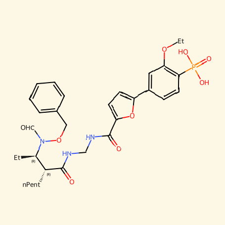 CCCCC[C@@H](C(=O)NCNC(=O)c1ccc(-c2ccc(P(=O)(O)O)c(OCC)c2)o1)[C@@H](CC)N(C=O)OCc1ccccc1